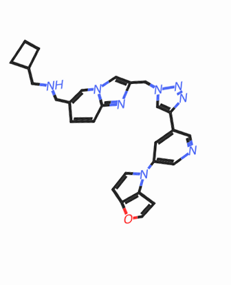 c1cc2c(ccn2-c2cncc(-c3cn(Cc4cn5cc(CNCC6CCC6)ccc5n4)nn3)c2)o1